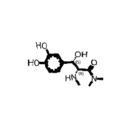 CN[C@@H](C(=O)N(C)C)[C@@H](O)c1ccc(O)c(O)c1